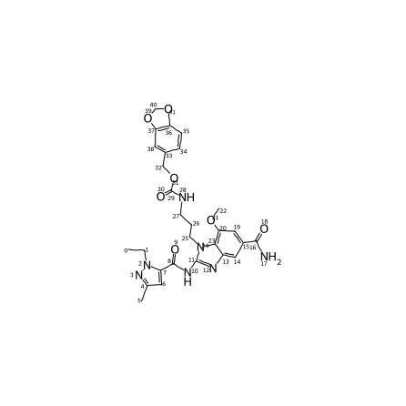 CCn1nc(C)cc1C(=O)Nc1nc2cc(C(N)=O)cc(OC)c2n1CCCNC(=O)OCc1ccc2c(c1)OCO2